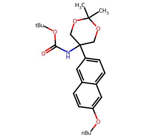 CCCCOc1ccc2cc(C3(NC(=O)OC(C)(C)C)COC(C)(C)OC3)ccc2c1